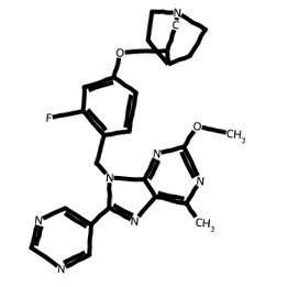 COc1nc(C)c2nc(-c3cncnc3)n(Cc3ccc(OC4CN5CCC4CC5)cc3F)c2n1